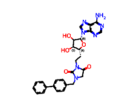 Nc1ncnc2c1ncn2[C@@H]1O[C@H](CCN2C(=O)CN(Cc3ccc(-c4ccccc4)cc3)C2=O)[C@@H](O)C1O